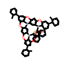 Cc1ccccc1-c1cc2c3c(c1)Oc1cc4c(cc1B3c1cc3c(cc1O2)Oc1cc(-c2ccccc2C)cc2c1B3c1sc3ccccc3c1O2)B1c2sc3ccccc3c2Oc2cc(-c3ccccc3C)cc(c21)O4